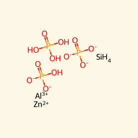 O=P(O)(O)O.O=P([O-])([O-])O.O=P([O-])([O-])[O-].[Al+3].[SiH4].[Zn+2]